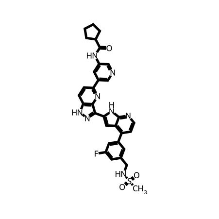 CS(=O)(=O)NCc1cc(F)cc(-c2ccnc3[nH]c(-c4n[nH]c5ccc(-c6cncc(NC(=O)C7CCCC7)c6)nc45)cc23)c1